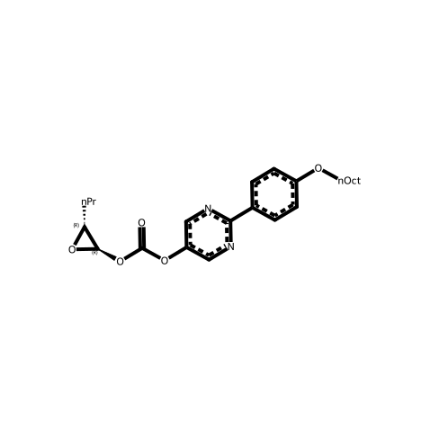 CCCCCCCCOc1ccc(-c2ncc(OC(=O)O[C@H]3O[C@@H]3CCC)cn2)cc1